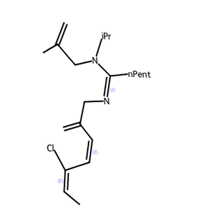 C=C(C)CN(/C(CCCCC)=N\CC(=C)/C=C\C(Cl)=C/C)C(C)C